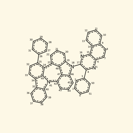 c1ccc(-c2nc3ccc4ccccc4c3nc2-n2c3cccc4c5c(-c6ccccc6)ccc6c7ccccc7n(c7cccc2c7c43)c65)cc1